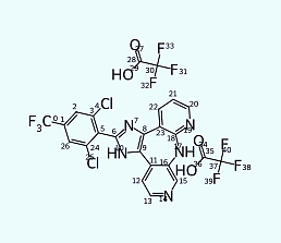 FC(F)(F)c1cc(Cl)c(-c2nc3c([nH]2)-c2ccncc2Nc2ncccc2-3)c(Cl)c1.O=C(O)C(F)(F)F.O=C(O)C(F)(F)F